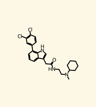 CN(CCNC(=O)Cc1c[nH]c2c(-c3ccc(Cl)c(Cl)c3)cccc12)C1CCCCC1